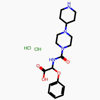 Cl.Cl.O=C(O)C(NC(=O)N1CCN(C2CCNCC2)CC1)Oc1ccccc1